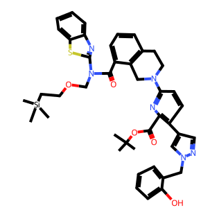 CC(C)(C)OC(=O)c1nc(N2CCc3cccc(C(=O)N(COCC[Si](C)(C)C)c4nc5ccccc5s4)c3C2)ccc1-c1cnn(Cc2ccccc2O)c1